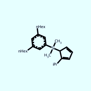 CCCCCCc1cc(CCCCCC)cc([Si](C)(C)[C]2C=CC=C2C(C)C)c1